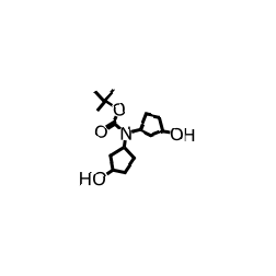 CC(C)(C)OC(=O)N(C1CCC(O)C1)C1CCC(O)C1